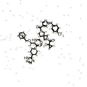 C[C@@H](OCC12CCC(CC1)OC2)[C@H](NC(=O)[C@@H]1CN(C(=O)c2cnn(Cc3ccc(C(F)(F)F)cc3)c2)CC12CN(C(=O)C1(C(F)(F)F)CC1)C2)C(=O)N1CCC(c2nnn[nH]2)CC1